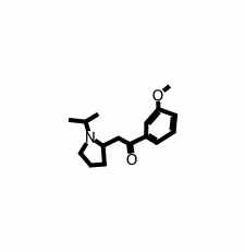 COc1cccc(C(=O)CC2CCCN2C(C)C)c1